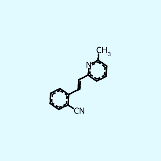 Cc1cccc(/C=C/c2ccccc2C#N)n1